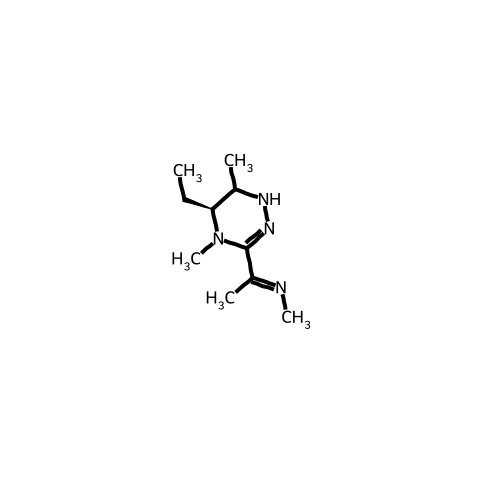 CC[C@H]1C(C)NN=C(/C(C)=N/C)N1C